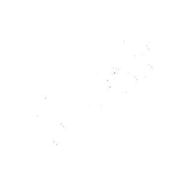 Nc1nc2cc(O[C@H]3CCC4[C@@H](O)[C@H](n5cc(F)c6c(N)ncnc65)O[C@@H]43)ccc2cc1F